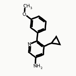 COc1cccc(-c2ncc(N)cc2C2CC2)c1